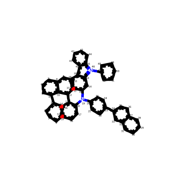 c1ccc(-c2cccc3cccc(-c4ccccc4N(c4ccc(-c5ccc6ccccc6c5)cc4)c4ccc5c6ccccc6n(-c6ccccc6)c5c4)c23)cc1